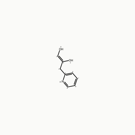 OC=C(O)Cc1ccccn1